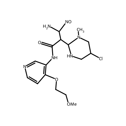 COCCOc1ccncc1NC(=O)C(C(N)N=O)C1NCC(Cl)CN1C